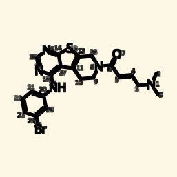 CN(C)C/C=C/C(=O)N1CCc2c(sc3ncnc(Nc4cccc(Br)c4)c23)C1